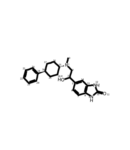 CN(CC(O)c1ccc2[nH]c(=O)[nH]c2c1)[C@H]1CC[C@H](c2ccccc2)CC1